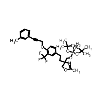 CC1=NC(CCc2ccc(OCC#Cc3cccc(C)c3)c(C(F)(F)F)c2)(COP(=O)(OC(C)(C)C)OC(C)(C)C)CO1